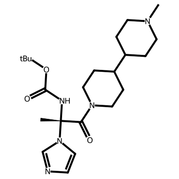 CN1CCC(C2CCN(C(=O)[C@@](C)(NC(=O)OC(C)(C)C)n3ccnc3)CC2)CC1